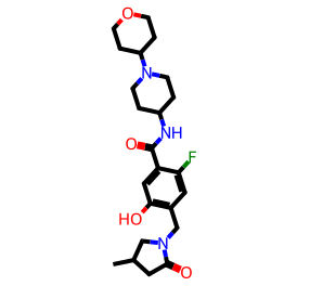 CC1CC(=O)N(Cc2cc(F)c(C(=O)NC3CCN(C4CCOCC4)CC3)cc2O)C1